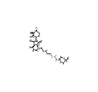 O=C1CCC(N2C(=O)c3c(F)ccc(SCCCCCCCN4CCC(F)(F)CC4)c3C2=O)C(=O)N1